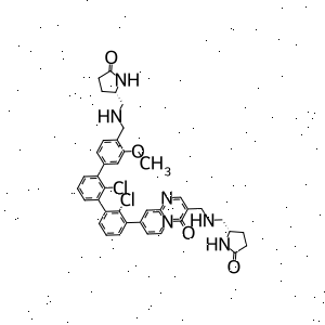 COc1cc(-c2cccc(-c3cccc(-c4ccn5c(=O)c(CNC[C@@H]6CCC(=O)N6)cnc5c4)c3Cl)c2Cl)ccc1CNC[C@@H]1CCC(=O)N1